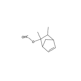 CC1C2C=CC(C2)C1(C)OC=O